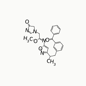 COC(CN1C=NC(=O)C1)=Nc1cc(C(C)Cc2cccc(C(=O)c3ccccc3)c2)no1